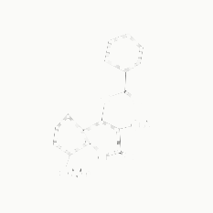 COc1cccc2c(OC(=O)c3ccccc3)c(OC(C)=O)c(=O)oc12